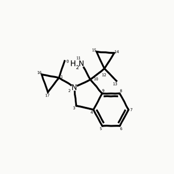 CC1(N2Cc3ccccc3C2(N)C2(C)CC2)CC1